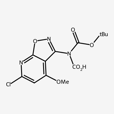 COc1cc(Cl)nc2onc(N(C(=O)O)C(=O)OC(C)(C)C)c12